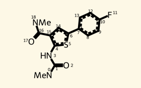 CNC(=O)Nc1sc(-c2ccc(F)cc2)cc1C(=O)NC